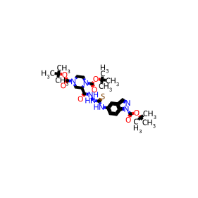 CC(C)(C)OC(=O)N1CCN(C(=O)OC(C)(C)C)C(C(=O)NNC(=S)Nc2ccc3c(cnn3C(=O)OC(C)(C)C)c2)C1